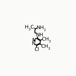 Cc1c(Cl)nnc(NC[C@@H](C)N)c1C